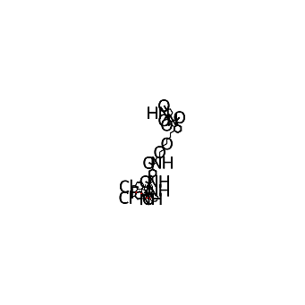 CC1([C@H]2[C@H](C(=O)Nc3ccc(C(=O)NCCOCCOCCCc4cccc5c4C(=O)N(C4CCC(=O)NC4=O)C5=O)cc3)NC3(CCCCC3)[C@@]23C(=O)Nc2cc(Cl)ccc23)CC=CC(Cl)=C1F